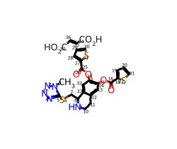 Cn1nnnc1SCC1NCCc2cc(OC(=O)c3cccs3)c(OC(=O)c3cccs3)cc21.O=C(O)C=CC(=O)O